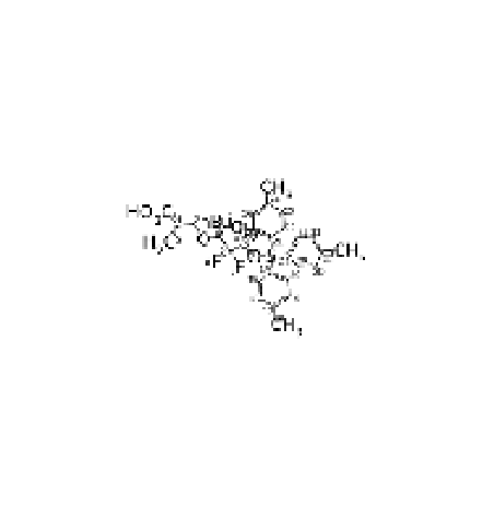 C=C(COC(CCCC)C(F)(F)S(=O)(=O)OS(c1ccc(C)cc1)(c1ccc(C)cc1)c1ccc(C)cc1)C(=O)O